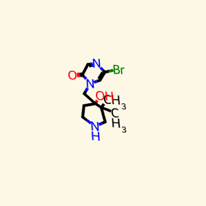 CC1(C)CNCCC1(O)Cn1cc(Br)ncc1=O